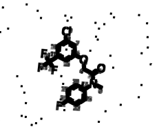 CN(C(=O)COc1cc(Cl)cc(C(F)(F)F)c1)c1ccc(F)cc1